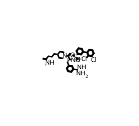 C=C(CCCC1CCN(C(=C)[C@H](Cc2cccc(C(=N)N)c2)NS(=O)(=O)c2cccc(-c3cccc(Cl)c3Cl)c2)CC1)NC